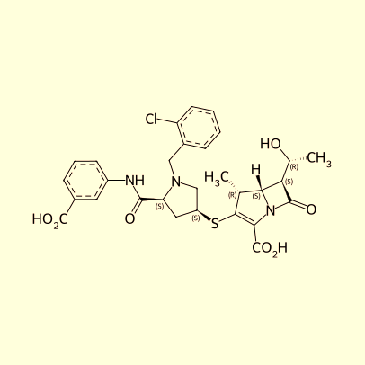 C[C@@H](O)[C@H]1C(=O)N2C(C(=O)O)=C(S[C@H]3C[C@@H](C(=O)Nc4cccc(C(=O)O)c4)N(Cc4ccccc4Cl)C3)[C@H](C)[C@H]12